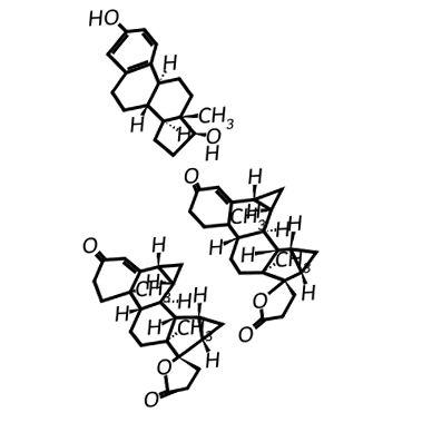 C[C@]12CCC(=O)C=C1[C@@H]1C[C@@H]1[C@H]1[C@@H]3[C@@H]4C[C@@H]4[C@@]4(CCC(=O)O4)[C@@]3(C)CC[C@@H]12.C[C@]12CCC(=O)C=C1[C@@H]1C[C@@H]1[C@H]1[C@@H]3[C@@H]4C[C@@H]4[C@@]4(CCC(=O)O4)[C@@]3(C)CC[C@@H]12.C[C@]12CC[C@@H]3c4ccc(O)cc4CC[C@H]3[C@@H]1CC[C@@H]2O